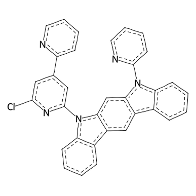 Clc1cc(-c2ccccn2)cc(-n2c3ccccc3c3cc4c5ccccc5n(-c5ccccn5)c4cc32)n1